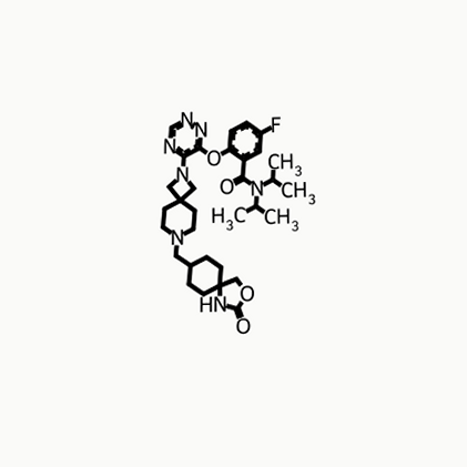 CC(C)N(C(=O)c1cc(F)ccc1Oc1nncnc1N1CC2(CCN(CC3CCC4(CC3)COC(=O)N4)CC2)C1)C(C)C